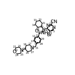 N#Cc1ncc(Br)c(N(NC(=O)c2ccc(CN3CCC(N4CCOCC4)CC3)cc2)C2CCCCC2)n1